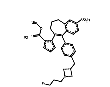 CC(C)(C)OC(=O)n1cccc1C1=C(c2ccc(CC3CN(CCCF)C3)cc2)c2ccc(C(=O)O)cc2CCC1.Cl